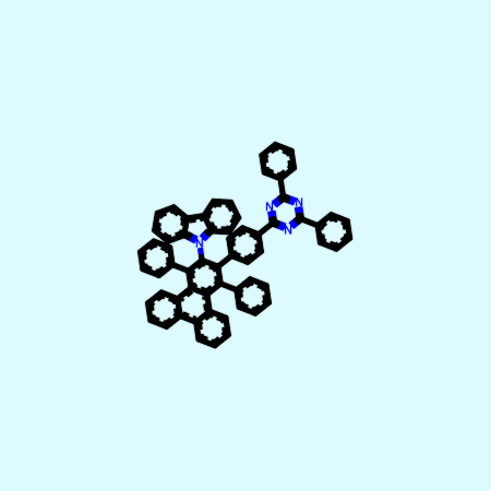 c1ccc(-c2nc(-c3ccccc3)nc(-c3ccc(-c4c(-n5c6ccccc6c6ccccc65)c(-c5ccccc5)c5c6ccccc6c6ccccc6c5c4-c4ccccc4)cc3)n2)cc1